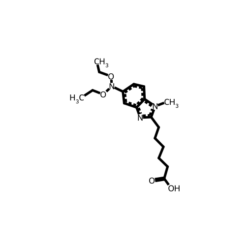 CCON(OCC)c1ccc2c(c1)nc(CCCCCC(=O)O)n2C